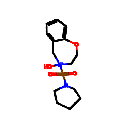 O=S(=O)(N1CCCCC1)[N+]1(O)CCOc2ccccc2C1